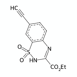 C#Cc1ccc2c(c1)S(=O)(=O)NC(C(=O)OCC)=N2